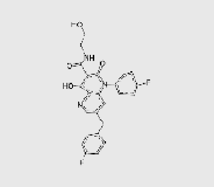 O=C(NCCO)c1c(O)c2ncc(Cc3ccc(F)cc3)cc2n(-c2ccc(F)cc2)c1=O